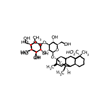 C=C1CC2C3CC4C(CCC[C@@]4(C)C(=O)O)C2[C@@H](C)C[C@]1(O[C@@H]1O[C@H](CO)[C@@H](O)[C@H](O[C@@H]2O[C@H](CO)[C@@H](O)[C@H](O)[C@H]2O)[C@H]1O[C@H]1O[C@H](C)[C@@H](O)[C@H](O)[C@@H]1O)C3